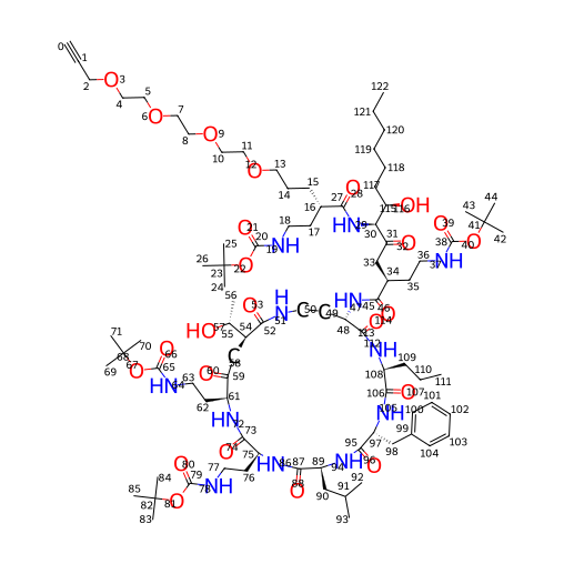 C#CCOCCOCCOCCOCCC[C@@H](CCNC(=O)OC(C)(C)C)C(=O)N[C@H](C(=O)C[C@@H](CCNC(=O)OC(C)(C)C)C(=O)N[C@H]1CCNC(=O)[C@H]([C@@H](C)O)CC(=O)[C@H](CCNC(=O)OC(C)(C)C)NC(=O)[C@H](CCNC(=O)OC(C)(C)C)NC(=O)[C@H](CC(C)C)NC(=O)[C@@H](Cc2ccccc2)NC(=O)[C@H](CCC)NC1=O)[C@H](O)CCCCCC